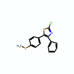 CSc1ccc(-c2sc(Cl)nc2-c2ccccc2)cc1